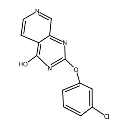 Oc1nc(Oc2cccc(Cl)c2)nc2cnccc12